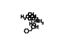 CC(C)(C)OC(=O)C[C@]1(CN)C[C@@H]2CC(CC3CCCCC3)=C[C@@H]21